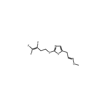 CO/N=C/Cc1cnc(SCCC(F)=C(F)F)s1